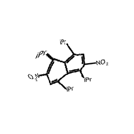 CC(C)c1cc([N+](=O)[O-])c(C(C)C)c2c(C(C)C)cc([N+](=O)[O-])c(C(C)C)c12